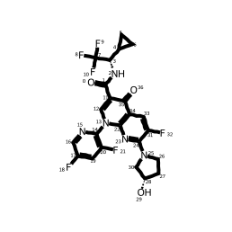 O=C(N[C@@H](C1CC1)C(F)(F)F)c1cn(-c2ncc(F)cc2F)c2nc(N3CC[C@H](O)C3)c(F)cc2c1=O